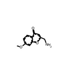 COc1ccc2c(=O)cc(CN)oc2c1